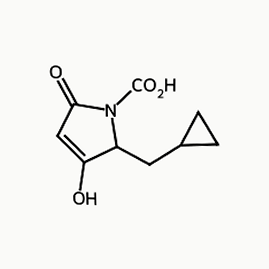 O=C(O)N1C(=O)C=C(O)C1CC1CC1